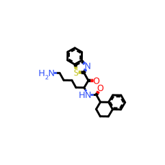 NCCCCC(NC(=O)C1CCCc2ccccc21)C(=O)c1nc2ccccc2s1